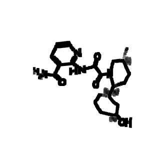 C[C@@H]1CC[C@@H]([C@H]2CCC[C@H](O)C2)N(C(=O)C(=O)Nc2ncccc2C(N)=O)C1